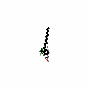 CCCCCCCCCCCCc1ccc(SOC)cc1C(F)(F)F